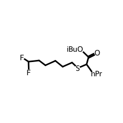 CCCC(SCCCCCC(F)F)C(=O)OCC(C)C